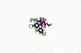 C=CCC1O[C@H](c2cc(F)cc(Cl)c2)[C@@H](c2ccc(Cl)cc2)N(C(CC)CSC(C)C)C1=O